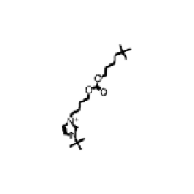 CC(C)(C)CCCCOC(=O)OCCCC[n+]1ccn(C(C)(C)C)c1